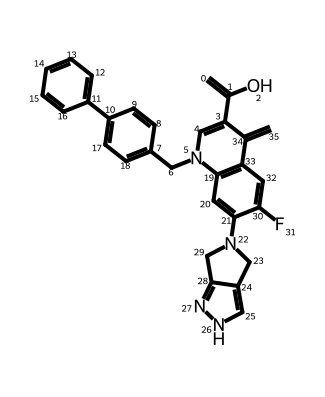 C=C(O)C1=CN(Cc2ccc(-c3ccccc3)cc2)c2cc(N3Cc4c[nH]nc4C3)c(F)cc2C1=C